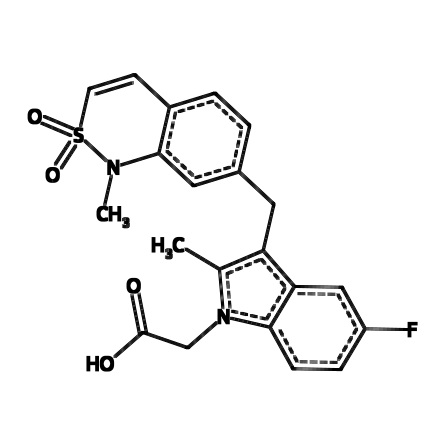 Cc1c(Cc2ccc3c(c2)N(C)S(=O)(=O)C=C3)c2cc(F)ccc2n1CC(=O)O